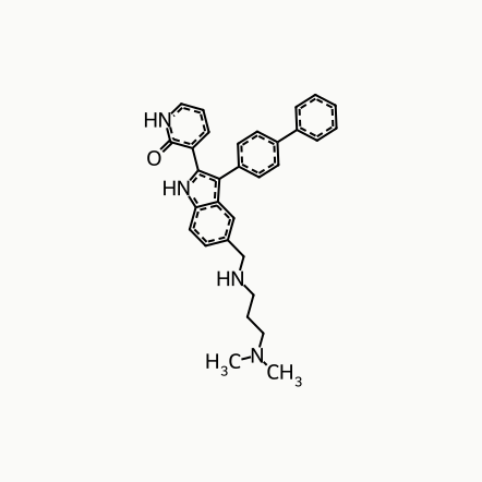 CN(C)CCCNCc1ccc2[nH]c(-c3ccc[nH]c3=O)c(-c3ccc(-c4ccccc4)cc3)c2c1